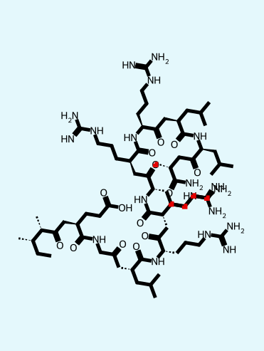 CC[C@H](C)[C@H](C)C(=O)C[C@@H](CCC(=O)O)C(=O)NCC(=O)C[C@@H](CC(C)C)C(=O)N[C@@H](CCCNC(=N)N)C(=O)C[C@@H](CCCCN)C(=O)N[C@@H](CCCNC(=N)N)C(=O)C[C@@H](CCCNC(=N)N)C(=O)N[C@@H](CCCNC(=N)N)C(=O)C[C@@H](CC(C)C)C(=O)N[C@@H](CC(C)C)C(=O)C[C@@H](C)C(N)=O